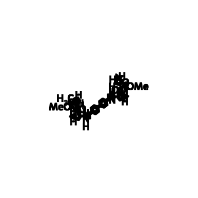 COC(=O)NC(C(=O)N1[C@@H]2C[C@@H]2C[C@H]1c1nc(-c2ccc(-c3ccc(-c4c[nH]c([C@@H]5C[C@H]6C[C@H]6N5C(=O)C(NC(=O)OC)[C@H]5C[C@H]6[C@H]7C5[C@]76C)n4)cc3)cc2)c[nH]1)[C@H]1C[C@@H]2C[C@@H]2C1